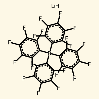 Fc1c(F)c(F)c([B-](c2c(F)c(F)c(F)c(F)c2F)(c2c(F)c(F)c(F)c(F)c2F)c2c(F)c(F)c(F)c(F)c2F)c(F)c1F.[LiH]